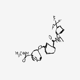 CNC(=O)c1cc(Oc2cccc(C(=O)Nc3cccc(C(F)(F)F)c3)c2)ccn1